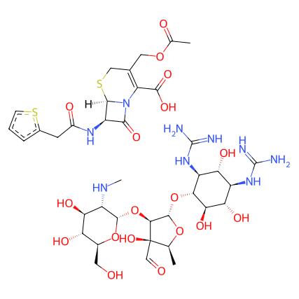 CC(=O)OCC1=C(C(=O)O)N2C(=O)[C@@H](NC(=O)Cc3cccs3)[C@H]2SC1.CN[C@@H]1[C@H](O[C@H]2[C@H](O[C@H]3[C@H](O)[C@@H](O)[C@H](NC(=N)N)[C@@H](O)[C@@H]3NC(=N)N)O[C@@H](C)[C@]2(O)C=O)O[C@@H](CO)[C@H](O)[C@H]1O